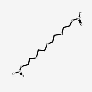 O=[N+]([O-])OCCOCCOCCOCCO[N+](=O)[O-]